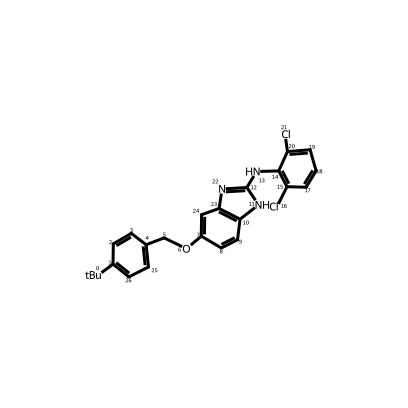 CC(C)(C)c1ccc(COc2ccc3[nH]c(Nc4c(Cl)cccc4Cl)nc3c2)cc1